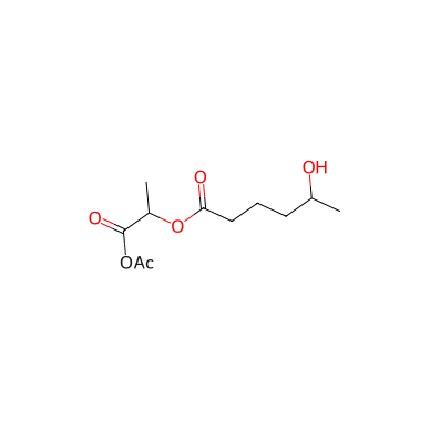 CC(=O)OC(=O)C(C)OC(=O)CCCC(C)O